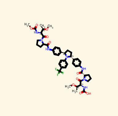 COC(=O)N[C@H](C(=O)N1CCCC1C(=O)Nc1ccc([C@H]2CC[C@H](c3ccc(NC(=O)[C@@H]4CCCN4C(=O)[C@@H](NC(=O)O)[C@@H](C)OC)cc3)N2c2ccc(C(F)(F)F)cc2)cc1)[C@@H](C)OC